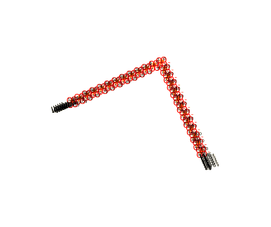 O=P([O-])([O-])[O-].O=P([O-])([O-])[O-].O=P([O-])([O-])[O-].O=P([O-])([O-])[O-].O=P([O-])([O-])[O-].O=P([O-])([O-])[O-].O=P([O-])([O-])[O-].O=P([O-])([O-])[O-].O=P([O-])([O-])[O-].O=P([O-])([O-])[O-].O=P([O-])([O-])[O-].O=P([O-])([O-])[O-].O=P([O-])([O-])[O-].O=P([O-])([O-])[O-].O=P([O-])([O-])[O-].O=P([O-])([O-])[O-].O=P([O-])([O-])[O-].O=P([O-])([O-])[O-].O=P([O-])([O-])[O-].O=P([O-])([O-])[O-].O=P([O-])([O-])[O-].O=P([O-])([O-])[O-].O=P([O-])([O-])[O-].O=P([O-])([O-])[O-].O=P([O-])([O-])[O-].[Al+3].[W+6].[W+6].[W+6].[W+6].[W+6].[W+6].[W+6].[W+6].[W+6].[W+6].[W+6].[W+6]